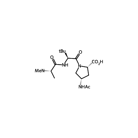 CN[C@@H](C)C(=O)N[C@H](C(=O)N1C[C@@H](NC(C)=O)C[C@H]1C(=O)O)C(C)(C)C